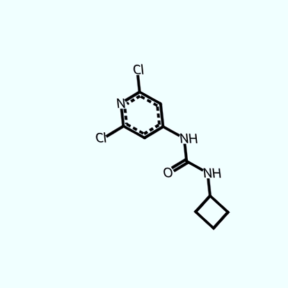 O=C(Nc1cc(Cl)nc(Cl)c1)NC1CCC1